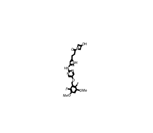 COc1cc(OC)c(F)c(COc2cnc(Nc3cc(CCC(=O)N4CC(O)C4)[nH]n3)nc2)c1F